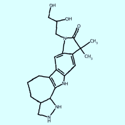 CC1(C)C(=O)N(CC(O)CO)c2cc3c4c([nH]c3cc21)C1NNCC1CCC4